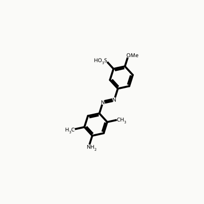 COc1ccc(N=Nc2cc(C)c(N)cc2C)cc1S(=O)(=O)O